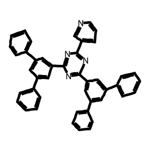 c1ccc(-c2cc(-c3ccccc3)cc(-c3nc(-c4cccnc4)nc(-c4cc(-c5ccccc5)cc(-c5ccccc5)c4)n3)c2)cc1